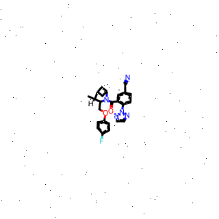 C[C@@H]1C2CC(C2)N(C(=O)c2cc(C#N)ccc2-n2nccn2)C1COc1ccc(F)cc1